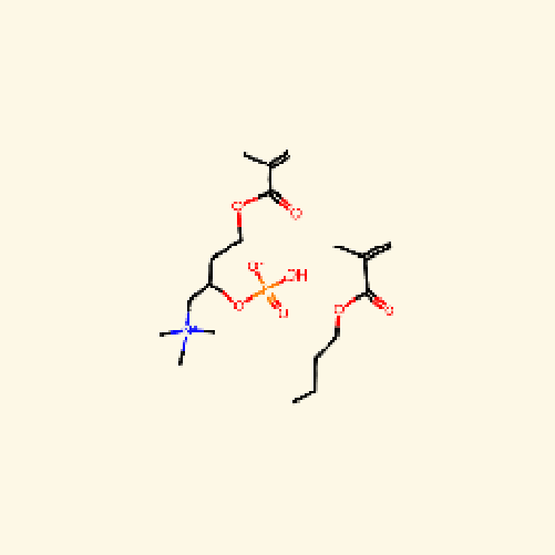 C=C(C)C(=O)OCCC(C[N+](C)(C)C)OP(=O)([O-])O.C=C(C)C(=O)OCCCC